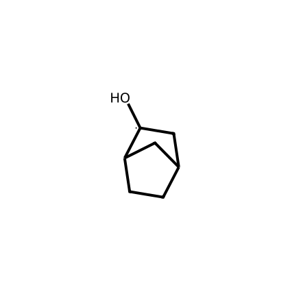 O[C]1CC2CCC1C2